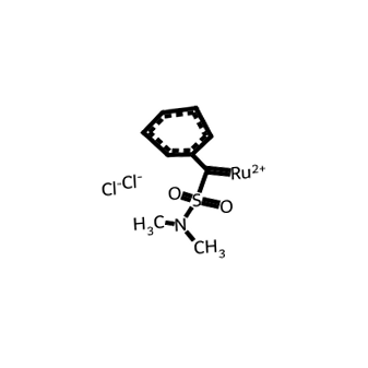 CN(C)S(=O)(=O)[C](=[Ru+2])c1ccccc1.[Cl-].[Cl-]